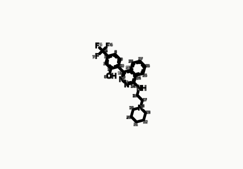 Oc1cc(C(F)(F)F)ccc1-c1nnc(NCCN2CCCCC2)c2ccccc12